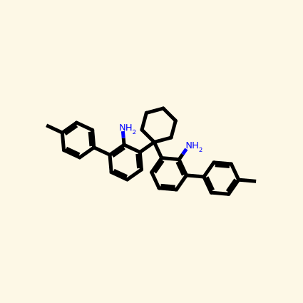 Cc1ccc(-c2cccc(C3(c4cccc(-c5ccc(C)cc5)c4N)CCCCC3)c2N)cc1